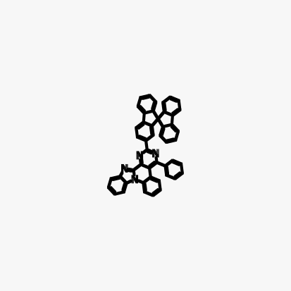 c1ccc(-c2nc(-c3ccc4c(c3)C3(c5ccccc5-c5ccccc53)c3ccccc3-4)nc3c2c2ccccc2n2c4ccccc4nc32)cc1